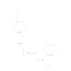 CCOC(=O)CC(NC(=O)C1CC1C(=O)Nc1ccc(C=NN)cc1)c1ccccc1